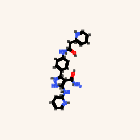 NC(=O)c1c(-c2ccc(NC(=O)Cc3ccccn3)cc2)n[nH]c1Nc1ccccn1